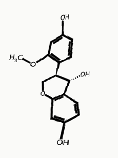 COc1cc(O)ccc1[C@@H]1COc2cc(O)ccc2[C@H]1O